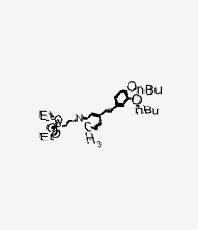 C\C=C/C(C=Cc1ccc(OCCCC)c(OCCCC)c1)=C\C=N\CCCP(=O)(OCC)OCC